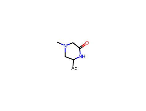 CC(=O)C1CN(C)CC(=O)N1